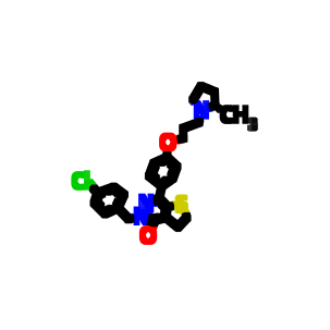 C[C@@H]1CCCN1CCCOc1ccc(-c2nn(Cc3ccc(Cl)cc3)c(=O)c3c2SCC3)cc1